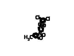 Cc1ccc2c(c1)COC(=O)N2C1CCN(S(=O)(=O)c2cc(Cl)cc(Cl)c2)CC1